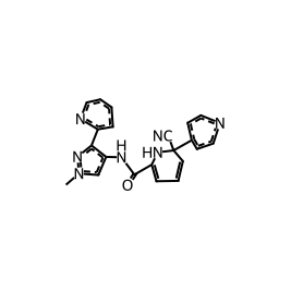 Cn1cc(NC(=O)C2=CC=CC(C#N)(c3ccncc3)N2)c(-c2ccccn2)n1